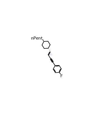 CCCCC[C@H]1CC[C@H](/C=C/C#Cc2ccc(F)cc2)CC1